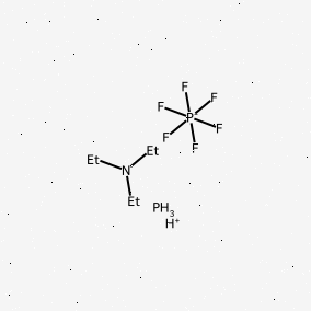 CCN(CC)CC.F[P-](F)(F)(F)(F)F.P.[H+]